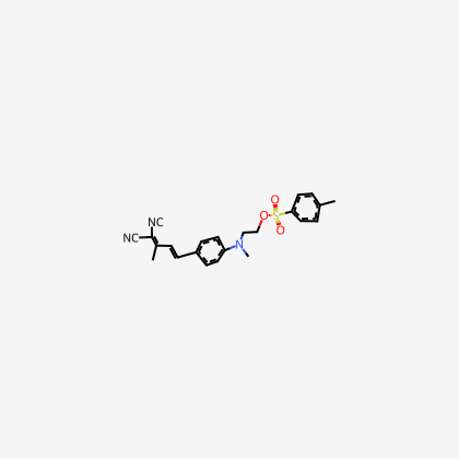 [C-]#[N+]/C(C#N)=C(C)\C=C\c1ccc(N(C)CCOS(=O)(=O)c2ccc(C)cc2)cc1